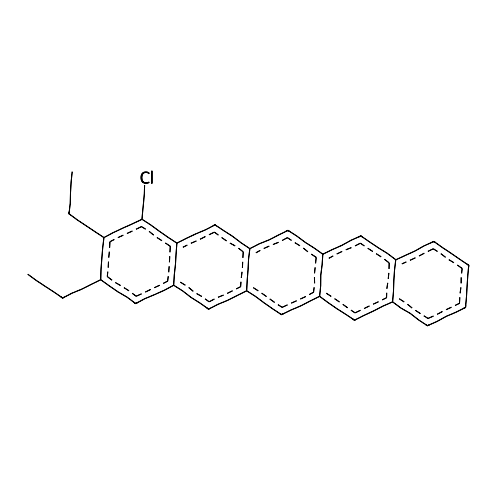 CCc1cc2cc3cc4cc5ccccc5cc4cc3cc2c(Cl)c1CC